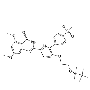 COc1cc(OC)c2c(=O)[nH]c(-c3ccc(OCCO[Si](C)(C)C(C)(C)C)c(-c4ccc(S(C)(=O)=O)cc4)n3)nc2c1